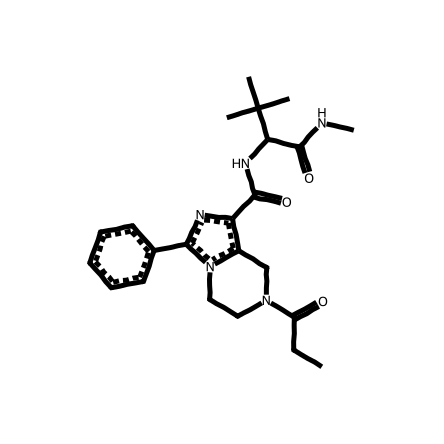 CCC(=O)N1CCn2c(-c3ccccc3)nc(C(=O)NC(C(=O)NC)C(C)(C)C)c2C1